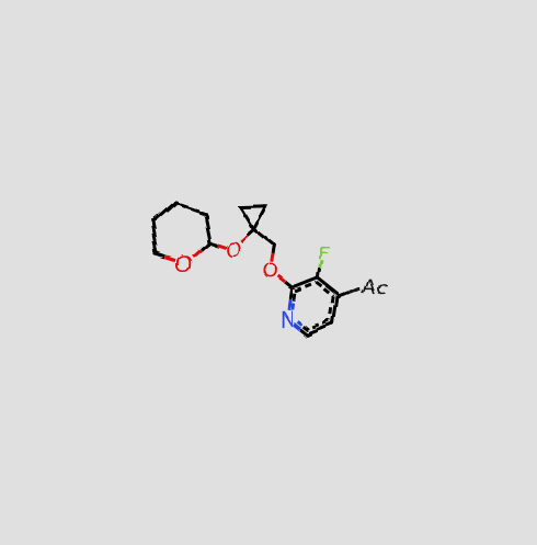 [CH2]C(=O)c1ccnc(OCC2(OC3CCCCO3)CC2)c1F